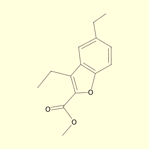 CCc1ccc2oc(C(=O)OC)c(CC)c2c1